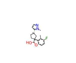 Cc1c(F)cccc1[C@@]1(C(=O)O)CC[C@H](c2ccnn2C)C1